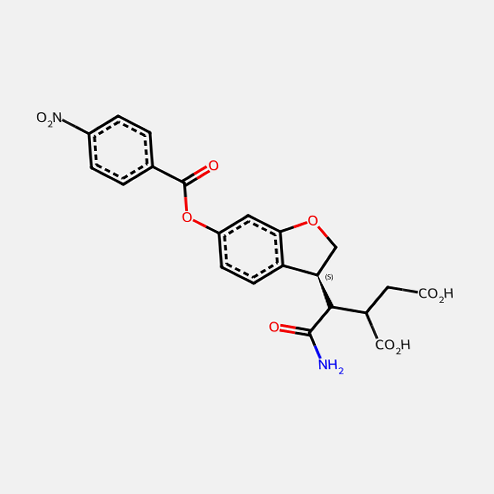 NC(=O)C(C(CC(=O)O)C(=O)O)[C@@H]1COc2cc(OC(=O)c3ccc([N+](=O)[O-])cc3)ccc21